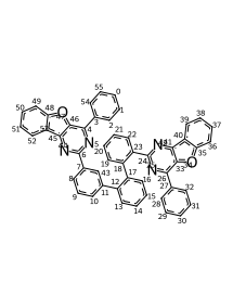 c1ccc(-c2nc(-c3cccc(-c4ccccc4-c4ccccc4-c4nc(-c5ccccc5)c5oc6ccccc6c5n4)c3)nc3c2oc2ccccc23)cc1